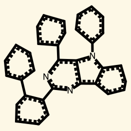 c1ccc(-c2ccccc2-c2nc(-c3ccccc3)c3c(n2)c2ccccc2n3-c2ccccc2)cc1